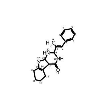 C/C(=C\c1ccccc1)C1NC(=O)C2C3=C(CCCC3)SC2N1